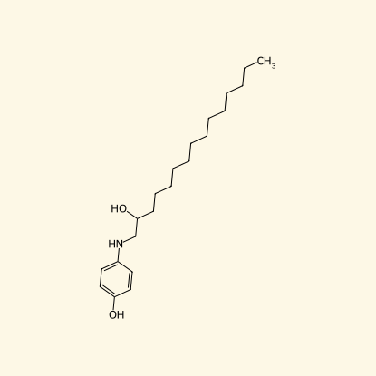 CCCCCCCCCCCCCC(O)CNc1ccc(O)cc1